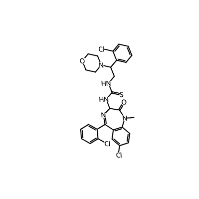 CN1C(=O)C(NC(=S)NCC(c2ccccc2Cl)N2CCOCC2)N=C(c2ccccc2Cl)c2cc(Cl)ccc21